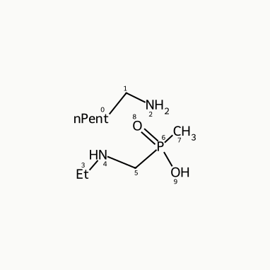 CCCCCCN.CCNCP(C)(=O)O